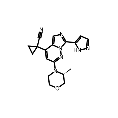 C[C@@H]1COCCN1c1cc(C2(C#N)CC2)c2cnc(-c3ccn[nH]3)n2n1